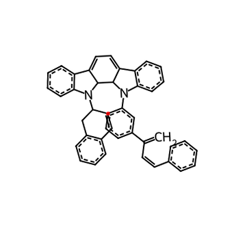 C=C(/C=C\c1ccccc1)c1cccc(N2c3ccccc3C3=CC=C4c5ccccc5N(C5C=Cc6ccccc6C5)C4C32)c1